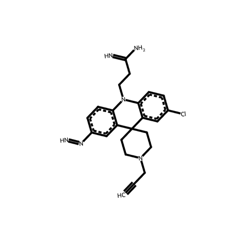 C#CCN1CCC2(CC1)c1cc(Cl)ccc1N(CCC(=N)N)c1ccc(N=N)cc12